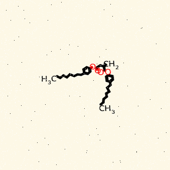 C=C(CC(=O)Oc1ccc(CCCCCCCCC)cc1)C(=O)Oc1ccc(CCCCCCCCC)cc1